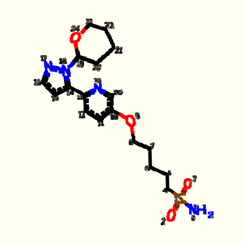 NS(=O)(=O)CCCCCOc1ccc(-c2ccnn2C2CCCCO2)nc1